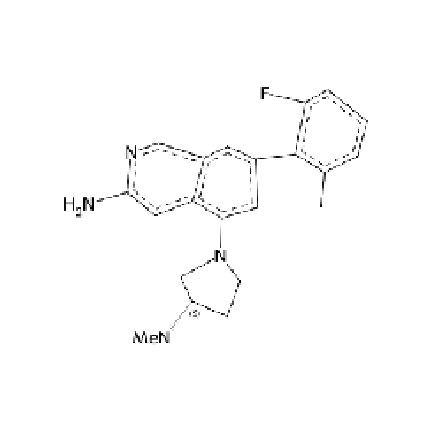 CN[C@H]1CCN(c2cc(-c3c(C)cccc3F)cc3cnc(N)cc23)C1